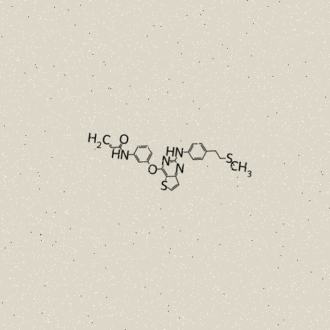 C=CC(=O)Nc1cccc(Oc2nc(Nc3ccc(CCSC)cc3)nc3ccsc23)c1